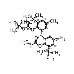 C=CC(=O)Oc1c(Cc2cc(C)cc(C(C)(C)C)c2OC(=O)OC(C)(C)C)cc(C)cc1C(C)(C)C